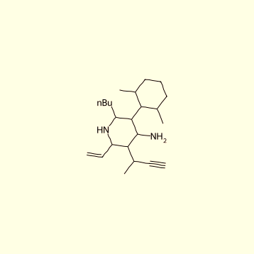 C#CC(C)C1C(C=C)NC(CCCC)C(C2C(C)CCCC2C)C1N